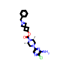 C[C@@H]1CN(c2cnc(Cl)c(N)n2)C[C@H](C)N1C(=O)OC1CC2(C1)CN(Cc1ccccc1)C2